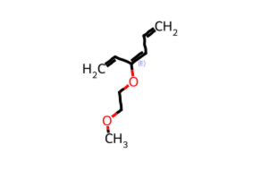 C=C/C=C(\C=C)OCCOC